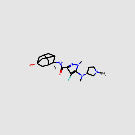 BN1CC[C@H](N(C)c2c(F)c(C(=O)N[C@H]3C4CC5CC3C[C@](O)(C5)C4)nn2C)C1